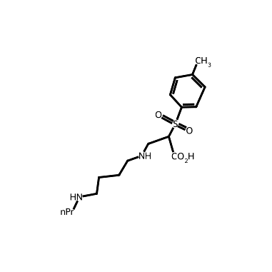 CCCNCCCCNCC(C(=O)O)S(=O)(=O)c1ccc(C)cc1